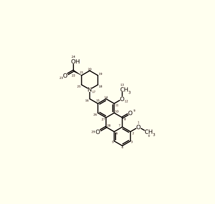 COc1cccc2c1C(=O)c1c(OC)cc(CN3CCC[C@H](C(=O)O)C3)cc1C2=O